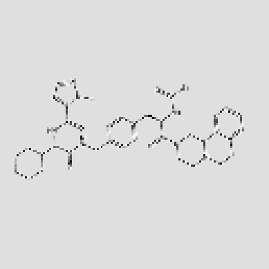 CCC(=O)N[C@H](Cc1ccc(CNC(=O)[C@@H](NC(=O)c2ccnn2C)C2CCCCC2)cc1)C(=O)N1CCN2CCc3ccccc3C2C1